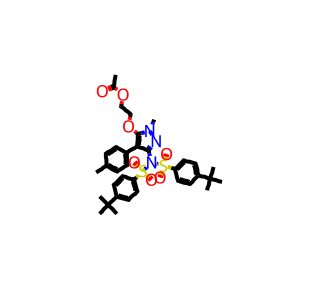 CC(=O)OCCOc1c(-c2ccc(C)cc2)c(N(S(=O)(=O)c2ccc(C(C)(C)C)cc2)S(=O)(=O)c2ccc(C(C)(C)C)cc2)nn1C